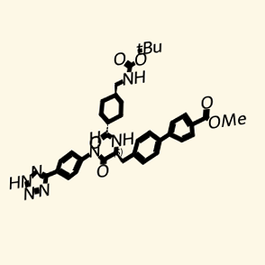 COC(=O)c1ccc(-c2ccc(C[C@H](NC(=O)[C@H]3CC[C@H](CNC(=O)OC(C)(C)C)CC3)C(=O)Nc3ccc(-c4nn[nH]n4)cc3)cc2)cc1